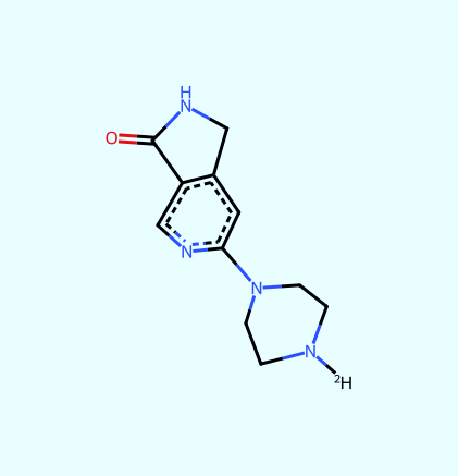 [2H]N1CCN(c2cc3c(cn2)C(=O)NC3)CC1